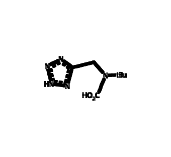 CC(C)(C)N(Cc1nn[nH]n1)C(=O)O